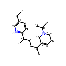 CCc1ccc(C(C)CCC(C)C2=CCCN(C(C)C)C2)nc1